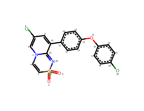 O=S1(=O)C=CN2C=C(Cl)C=C(c3ccc(Oc4ccc(Cl)cc4)cc3)C2=N1